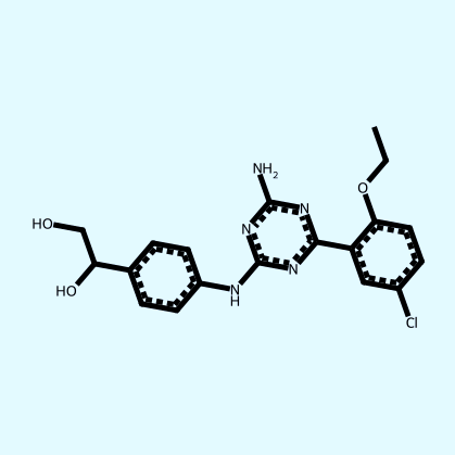 CCOc1ccc(Cl)cc1-c1nc(N)nc(Nc2ccc(C(O)CO)cc2)n1